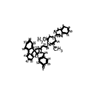 C[C@@H]1CN(c2ncc3ccccc3n2)C[C@H](C)N1CCCCC1(C(=O)NCc2ccc(F)cc2)c2ccccc2-c2ccccc21